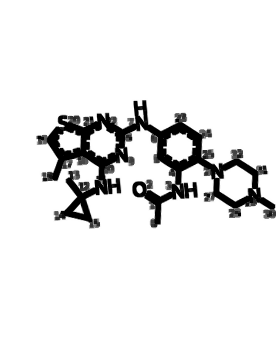 CC(=O)Nc1cc(Nc2nc(NC3(C)CC3)c3c(C)csc3n2)ccc1N1CCN(C)CC1